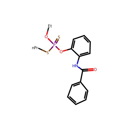 CCCSP(=S)(OCC)Oc1ccccc1NC(=O)c1ccccc1